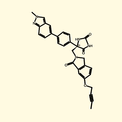 CC#CCOc1ccc2c(c1)C(=O)N(C[C@@]1(c3ccc(-c4ccc5nn(C)cc5c4)cc3)NC(=O)NC1=O)C2